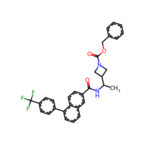 CC(NC(=O)c1ccc2c(-c3ccc(C(F)(F)F)cc3)cccc2c1)C1CN(C(=O)OCc2ccccc2)C1